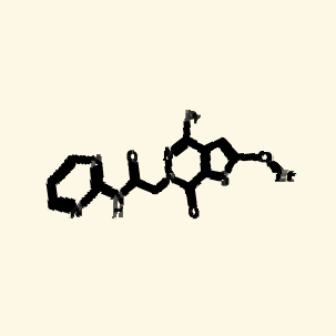 CCOc1cc2c(C(C)C)nn(CC(=O)Nc3ncccn3)c(=O)c2s1